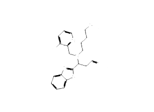 C=CCC(c1nc2ccccc2[nH]1)N(CCCCN)Cc1ncccc1C